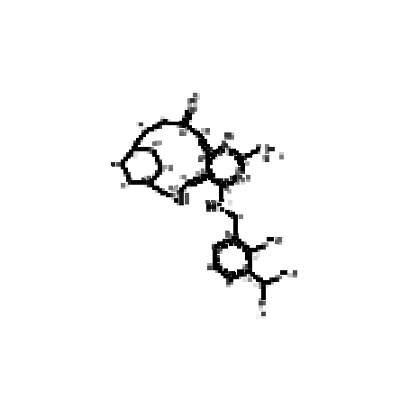 Cc1nc(NCc2cccc(C(F)F)c2F)c2/c(n1)=C\C(=O)CCC1CCC(CC1)N/C=2